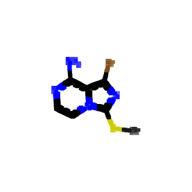 CC(C)Sc1nc(Br)c2c(N)nccn12